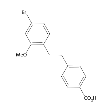 COc1cc(Br)ccc1CCc1ccc(C(=O)O)cc1